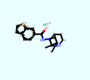 CC1(C)C(NC(=O)c2ccc3ccsc3c2)C2CCN1CC2.Cl